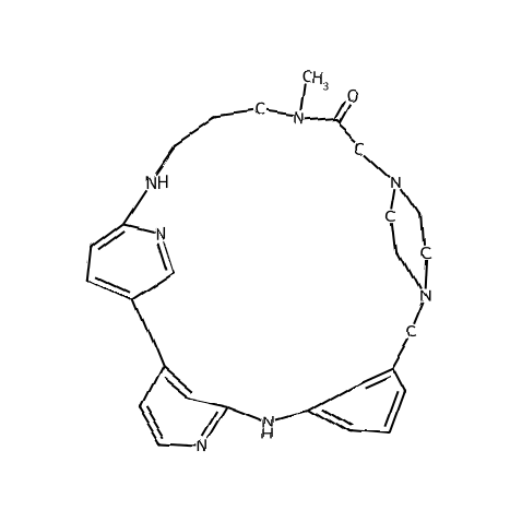 CN1CCCNc2ccc(cn2)-c2ccnc(c2)Nc2cccc(c2)CN2CCN(CC2)CC1=O